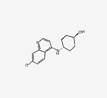 O[C@H]1CC[C@H](Nc2ccnc3cc(Cl)ccc23)CC1